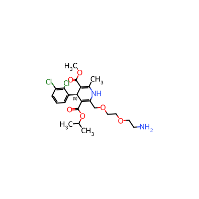 COC(=O)C1=C(C)NC(COCCOCCN)=C(C(=O)OC(C)C)[C@H]1c1cccc(Cl)c1Cl